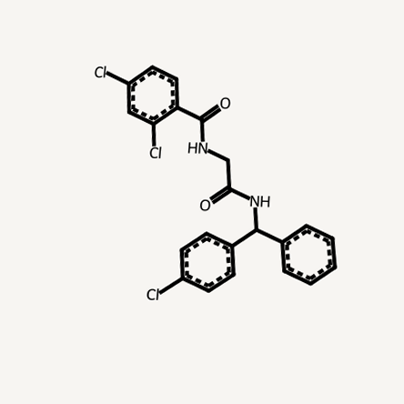 O=C(CNC(=O)c1ccc(Cl)cc1Cl)NC(c1ccccc1)c1ccc(Cl)cc1